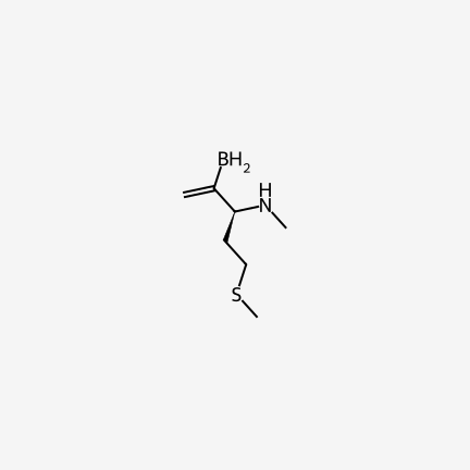 BC(=C)[C@H](CCSC)NC